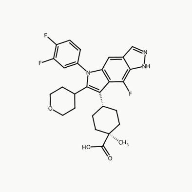 C[C@]1(C(=O)O)CC[C@H](c2c(C3CCOCC3)n(-c3ccc(F)c(F)c3)c3cc4cn[nH]c4c(F)c32)CC1